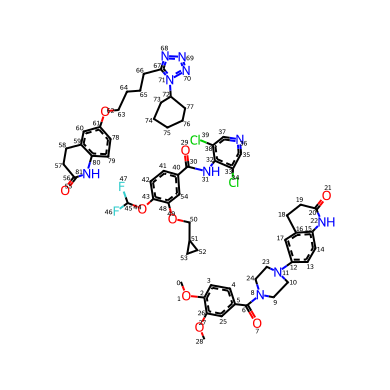 COc1ccc(C(=O)N2CCN(c3ccc4c(c3)CCC(=O)N4)CC2)cc1OC.O=C(Nc1c(Cl)cncc1Cl)c1ccc(OC(F)F)c(OCC2CC2)c1.O=C1CCc2cc(OCCCCc3nnnn3C3CCCCC3)ccc2N1